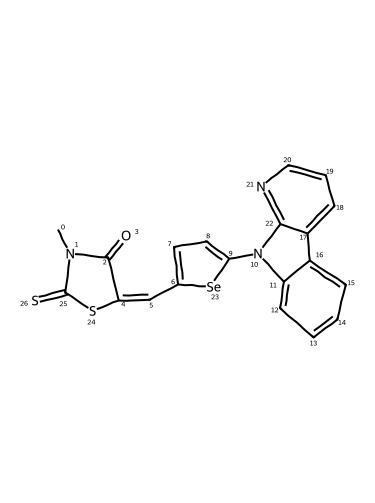 CN1C(=O)/C(=C\c2ccc(-n3c4ccccc4c4cccnc43)[se]2)SC1=S